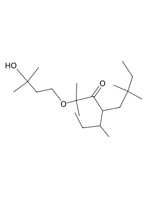 CCC(C)C(CC(C)(C)CC)C(=O)C(C)(C)OCCC(C)(C)O